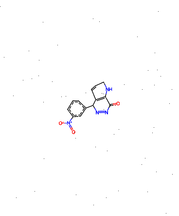 O=C1N=NC(c2cccc([N+](=O)[O-])c2)C2=C1NCC=C2